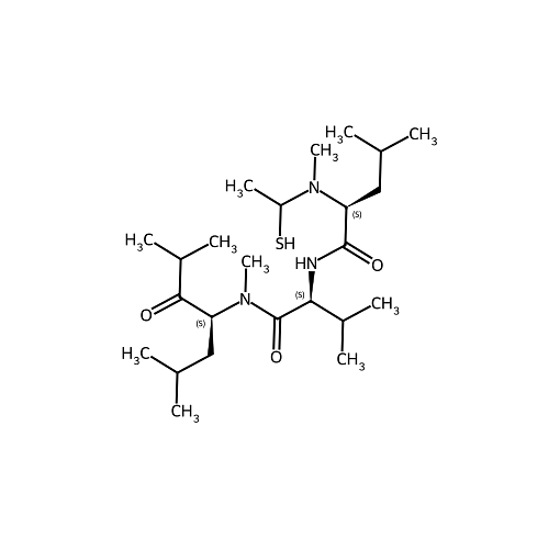 CC(C)C[C@@H](C(=O)C(C)C)N(C)C(=O)[C@@H](NC(=O)[C@H](CC(C)C)N(C)C(C)S)C(C)C